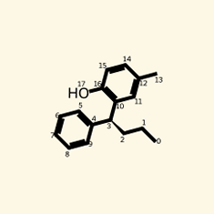 CCC[C@@H](c1ccccc1)c1cc(C)ccc1O